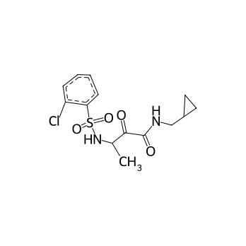 CC(NS(=O)(=O)c1ccccc1Cl)C(=O)C(=O)NCC1CC1